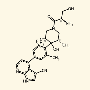 Cc1cc(-c2ccnc3[nH]cc(C#N)c23)cc(F)c1C1(O)[C@H](C)CN(C(=O)[C@H](N)CO)C[C@@H]1C